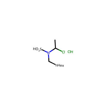 CCCCCCCN(C(C)Cl)S(=O)(=O)O.Cl